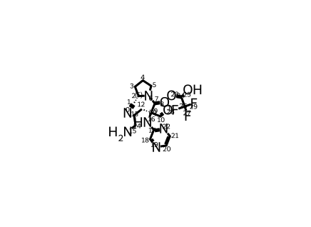 N#C[C@@H]1CCCN1C(=O)[C@](C=O)(CCCN)Nc1cnccn1.O=C(O)C(F)(F)F